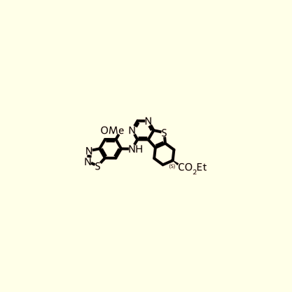 CCOC(=O)[C@H]1CCc2c(sc3ncnc(Nc4cc5snnc5cc4OC)c23)C1